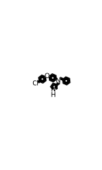 Clc1ccc(Oc2ccc(N(Cc3ccccc3)CC3CCNC3)cc2)cc1